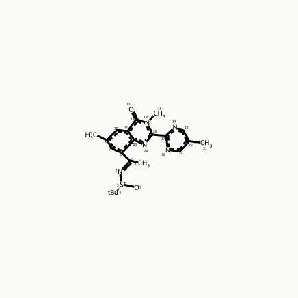 C/C(=N\[S@+]([O-])C(C)(C)C)c1cc(C)cc2c(=O)n(C)c(-c3ncc(C)cn3)nc12